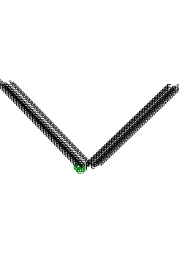 [Cl-].[Cl-].[Cl-].[Cl-].[Cl-].[Fe+3].[Fe+3].[Fe+3].[Fe+3].[Fe+3].[Fe+3].[Fe+3].[Fe+3].[Fe+3].[Fe+3].[Fe+3].[Fe+3].[Fe+3].[Fe+3].[Fe+3].[Fe+3].[Fe+3].[Fe+3].[Fe+3].[Fe+3].[Fe+3].[Fe+3].[Fe+3].[Fe+3].[Fe+3].[Fe+3].[Fe+3].[Fe+3].[Fe+3].[Fe+3].[Fe+3].[Fe+3].[Fe+3].[Fe+3].[Fe+3].[Fe+3].[Fe+3].[Fe+3].[Fe+3].[Fe+3].[Fe+3].[Fe+3].[Fe+3].[Fe+3].[Fe+3].[Fe+3].[Fe+3].[Fe+3].[Fe+3].[Fe+3].[Fe+3].[Fe+3].[Fe+3].[Fe+3].[Fe+3].[Fe+3].[Fe+3].[Fe+3].[Fe+3].[Fe+3].[Fe+3].[Fe+3].[Fe+3].[Fe+3].[Fe+3].[Fe+3].[Fe+3].[Fe+3].[Fe+3].[Fe+3].[Fe+3].[Fe+3].[Fe+3].[Fe+3].[Fe+3].[Fe+3].[Fe+3].[Fe+3].[Fe+3].[Fe+3].[Fe+3].[Fe+3].[Fe+3].[Fe+3].[Fe+3].[Fe+3].[Fe+3].[Fe+3].[Fe+3].[Fe+3].[Fe+3].[Fe+3].[Fe+3].[Fe+3].[Fe+3].[Fe+3].[Fe+3].[Fe+3].[Fe+3].[Fe+3]